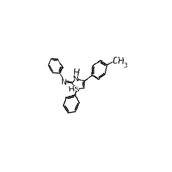 Cc1ccc(C2=C[SH](c3ccccc3)C(=Nc3ccccc3)N2)cc1